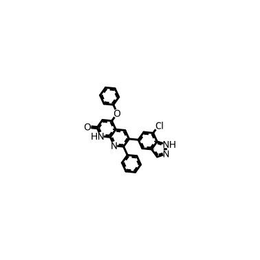 O=c1cc(Oc2ccccc2)c2cc(-c3cc(Cl)c4[nH]ncc4c3)c(-c3ccccc3)nc2[nH]1